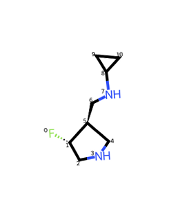 F[C@H]1CNC[C@@H]1CNC1CC1